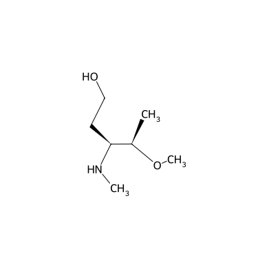 CN[C@@H](CCO)[C@@H](C)OC